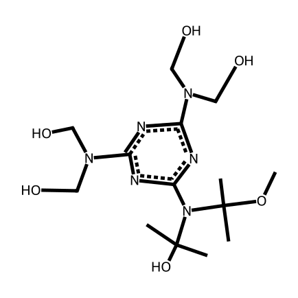 COC(C)(C)N(c1nc(N(CO)CO)nc(N(CO)CO)n1)C(C)(C)O